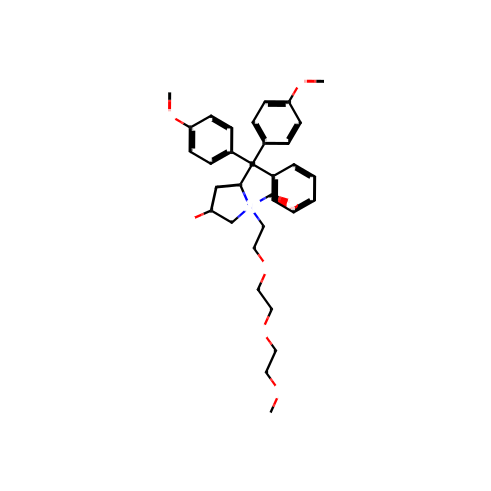 COCCOCCOCC[N+]1(C=O)CC(O)CC1C(c1ccccc1)(c1ccc(OC)cc1)c1ccc(OC)cc1